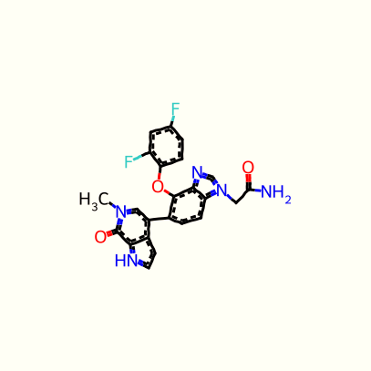 Cn1cc(-c2ccc3c(ncn3CC(N)=O)c2Oc2ccc(F)cc2F)c2cc[nH]c2c1=O